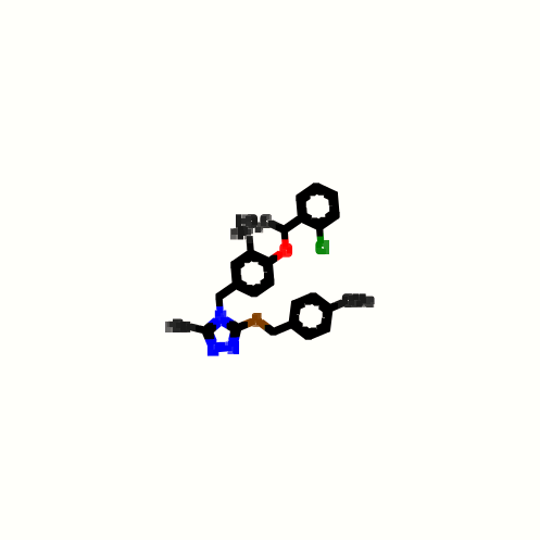 CCCCc1nnc(SCc2ccc(OC)cc2)n1Cc1ccc(OC(C(=O)O)c2ccccc2Cl)c(CCC)c1